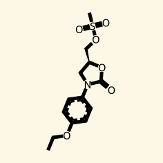 CCOc1ccc(N2C[C@@H](COS(C)(=O)=O)OC2=O)cc1